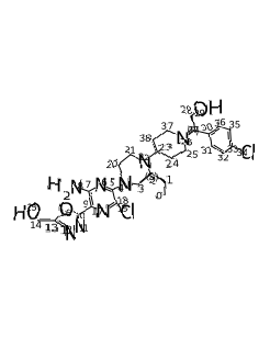 CC[C@H]1CN(c2nc(N)c(-c3nnc(CO)o3)nc2Cl)CCN1C1CCN([C@@H](CO)c2ccc(Cl)cc2)CC1